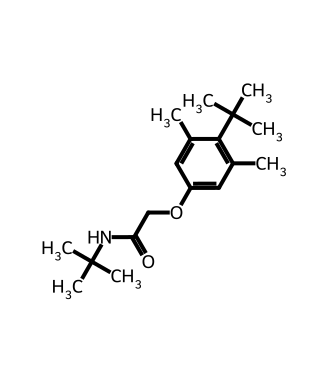 Cc1cc(OCC(=O)NC(C)(C)C)cc(C)c1C(C)(C)C